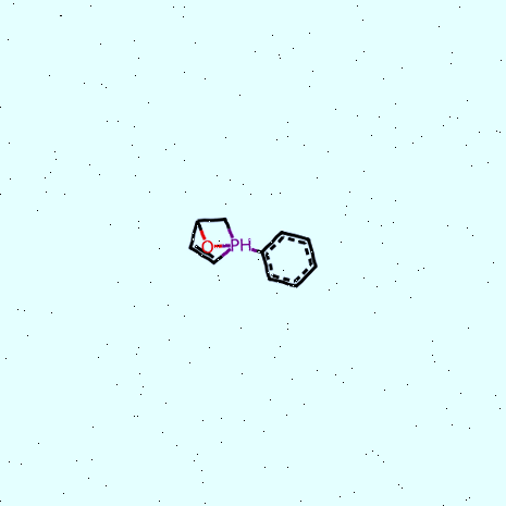 C1=C[PH]2(c3ccccc3)CC1O2